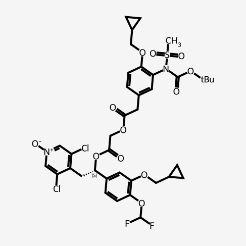 CC(C)(C)OC(=O)N(c1cc(CC(=O)OCC(=O)O[C@@H](Cc2c(Cl)c[n+]([O-])cc2Cl)c2ccc(OC(F)F)c(OCC3CC3)c2)ccc1OCC1CC1)S(C)(=O)=O